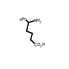 CCCC(N)CCCC(=O)O